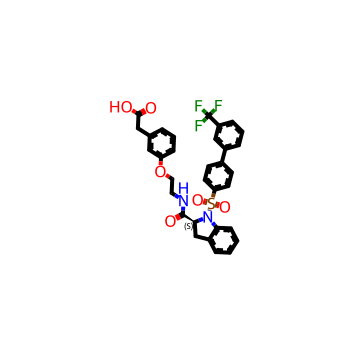 O=C(O)Cc1cccc(OCCNC(=O)[C@@H]2Cc3ccccc3N2S(=O)(=O)c2ccc(-c3cccc(C(F)(F)F)c3)cc2)c1